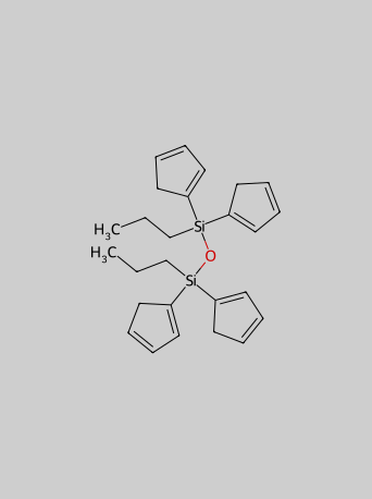 CCC[Si](O[Si](CCC)(C1=CC=CC1)C1=CC=CC1)(C1=CC=CC1)C1=CC=CC1